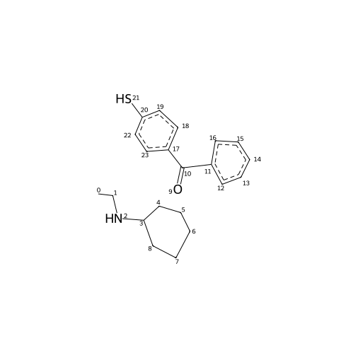 CCNC1CCCCC1.O=C(c1ccccc1)c1ccc(S)cc1